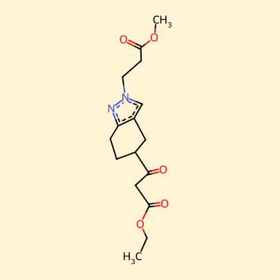 CCOC(=O)CC(=O)C1CCc2nn(CCC(=O)OC)cc2C1